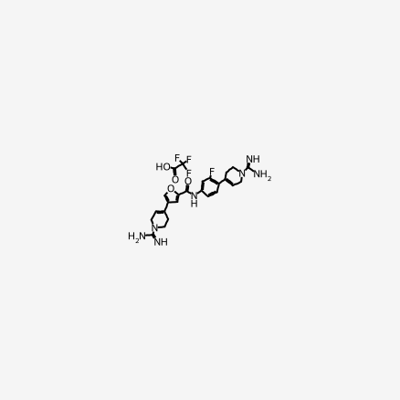 N=C(N)N1CC=C(c2coc(C(=O)Nc3ccc(C4=CCN(C(=N)N)CC4)c(F)c3)c2)CC1.O=C(O)C(F)(F)F